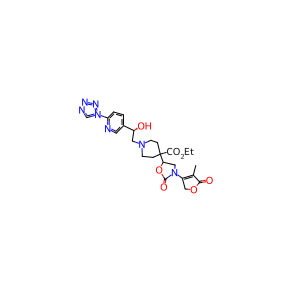 CCOC(=O)C1(C2CN(C3=C(C)C(=O)OC3)C(=O)O2)CCN(C[C@H](O)c2ccc(-n3cnnn3)nc2)CC1